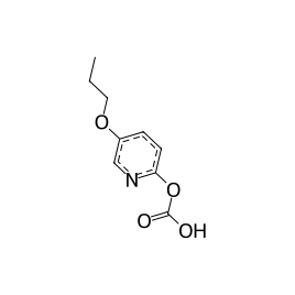 CCCOc1ccc(OC(=O)O)nc1